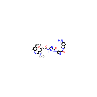 C=C1CC(/C=N\c2cc(OCCCC(=O)Nc3cn(C)c(C(=O)Nc4cc(C(=O)N5Cc6ccc(N)cc6C5)n(C)c4)n3)c(OC)cc2C)N(C=O)C1